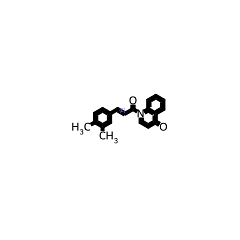 Cc1ccc(/C=C/C(=O)n2ccc(=O)c3ccccc32)cc1C